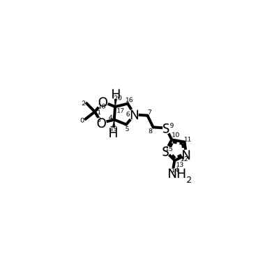 CC1(C)O[C@H]2CN(CCSc3cnc(N)s3)C[C@H]2O1